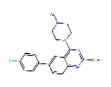 CC(=O)Nc1nc(N2CCN(C(C)=O)CC2)c2cc(-c3ccc(F)cc3)ccc2n1